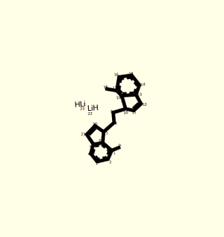 Cc1cccc2c1C(CCC1C=Cc3cccc(C)c31)C=C2.[LiH].[LiH]